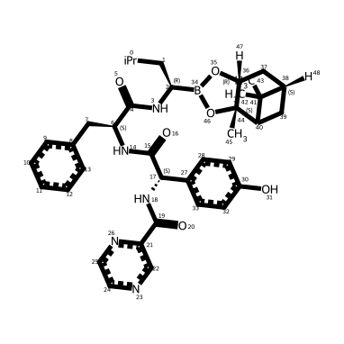 CC(C)C[C@H](NC(=O)[C@H](Cc1ccccc1)NC(=O)[C@@H](NC(=O)c1cnccn1)c1ccc(O)cc1)B1O[C@@H]2C[C@@H]3CC(C3(C)C)[C@]2(C)O1